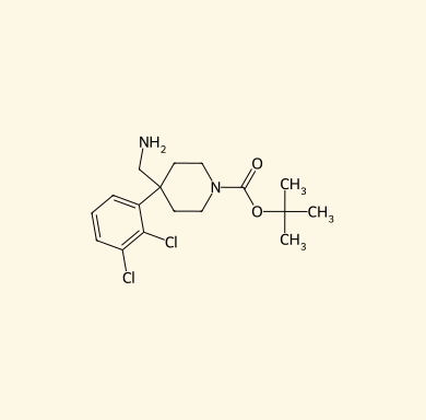 CC(C)(C)OC(=O)N1CCC(CN)(c2cccc(Cl)c2Cl)CC1